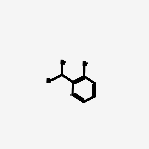 Brc1ccc[c]c1C(Br)Br